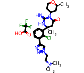 C[C@H]1C[C@@H](N2C(=N)N[C@](C)(c3cccc(-c4cn(CCN(C)C)nn4)c3Cl)CC2=O)CCO1.O=C(O)C(F)(F)F